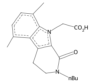 CCCCN1CCc2c(n(CC(=O)O)c3c(C)ccc(C)c23)C1=O